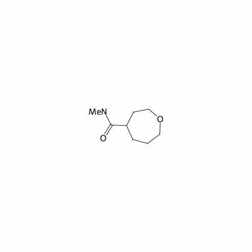 CNC(=O)C1CCCOCC1